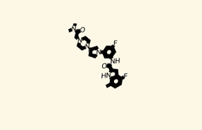 Cc1ccc(F)c2c1NC(C(=O)Nc1cc(F)cc(N3CC[C@@H](N4CCN(CC(=O)N(C)C)CC4)C3)c1)C2